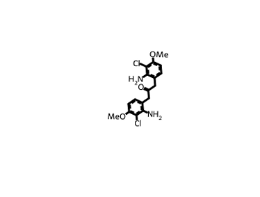 COc1ccc(CC(=O)Cc2ccc(OC)c(Cl)c2N)c(N)c1Cl